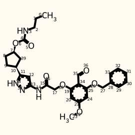 CCCNC(=O)O[C@@H]1CC[C@H](c2cc(NC(=O)COc3cc(OC)cc(OCc4ccccc4)c3C=O)n[nH]2)C1